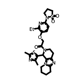 CCc1nc(N2CCCS2(=O)=O)ccc1OCC(=O)N1CCc2nc3n(c2C1c1sc(C)nc1C)CCCC3